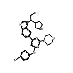 CCC(C1CCNC1)n1cnc2ccc(-c3cc(Nc4ccc(Cl)cc4)nc(N4CCOCC4)n3)cc21